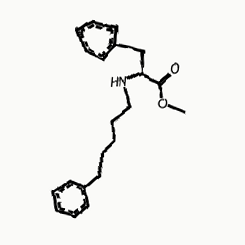 COC(=O)[C@H](Cc1ccccc1)NCCCCCc1ccccc1